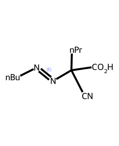 CCCC/N=N/C(C#N)(CCC)C(=O)O